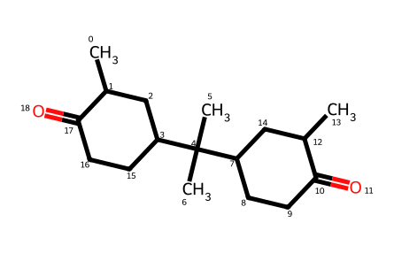 CC1CC(C(C)(C)C2CCC(=O)C(C)C2)CCC1=O